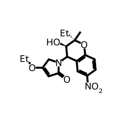 CCOC1=CC(=O)N(C2c3cc([N+](=O)[O-])ccc3O[C@@](C)(CC)[C@@H]2O)C1